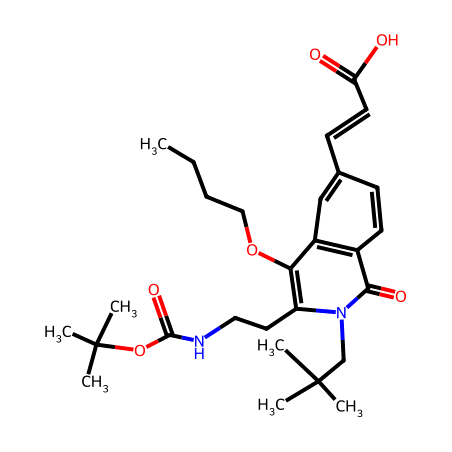 CCCCOc1c(CCNC(=O)OC(C)(C)C)n(CC(C)(C)C)c(=O)c2ccc(/C=C/C(=O)O)cc12